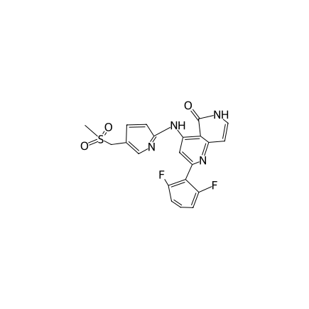 CS(=O)(=O)Cc1ccc(Nc2cc(-c3c(F)cccc3F)nc3cc[nH]c(=O)c23)nc1